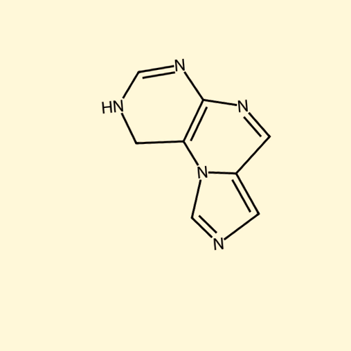 C1=Nc2ncc3cncn3c2CN1